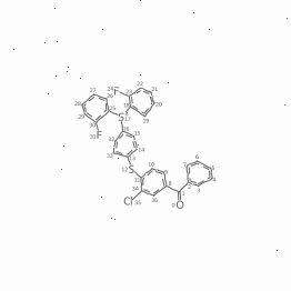 O=C(c1ccccc1)c1ccc(Sc2ccc([S+](c3ccccc3F)c3ccccc3F)cc2)c(Cl)c1